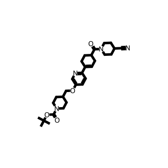 CC(C)(C)OC(=O)N1CCC(COc2ccc(C3=CCC(C(=O)N4CCC(C#N)CC4)CC3)nc2)CC1